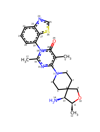 Cc1c(N2CCC3(CC2)CO[C@@H](C)[C@H]3N)nc(C)n(-c2cccc3ncsc23)c1=O